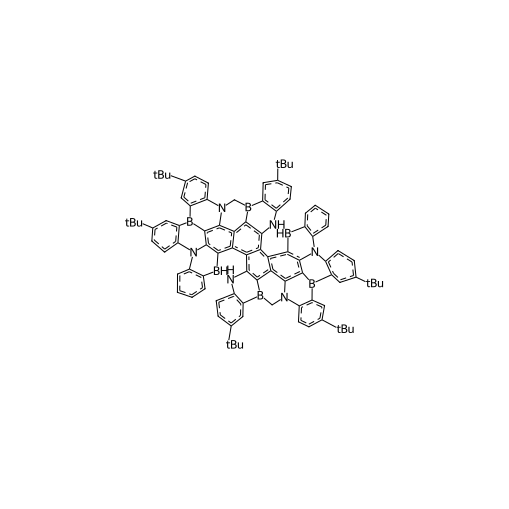 CC(C)(C)c1ccc2c(c1)B1CN3c4ccc(C(C)(C)C)cc4B4c5cc(C(C)(C)C)ccc5N5c6ccccc6Bc6c5c4c3c3c1c(c1c4c5c7c8c9c4c4c(c1c63)Nc1ccc(C(C)(C)C)cc1B4CN9c1ccc(C(C)(C)C)cc1B8c1cc(C(C)(C)C)ccc1N7c1ccccc1B5)N2